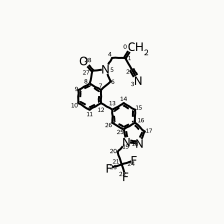 C=C(C#N)CN1Cc2c(cccc2-c2ccc3cnn(CC(F)(F)F)c3c2)C1=O